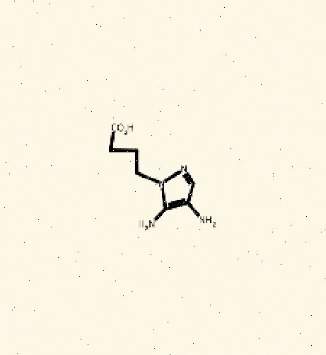 Nc1cnn(CCCC(=O)O)c1N